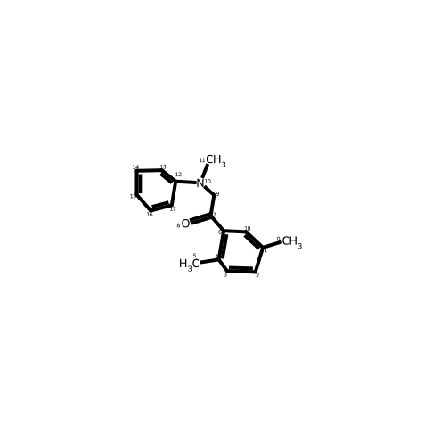 Cc1ccc(C)c(C(=O)CN(C)c2ccccc2)c1